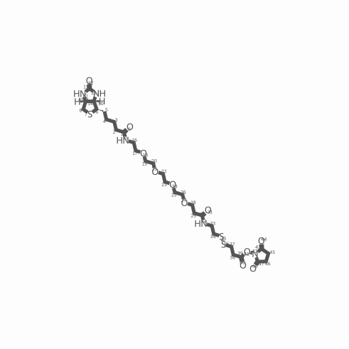 O=C(CCCC[C@@H]1SC[C@@H]2NC(=O)N[C@@H]21)NCCOCCOCCOCCOCCC(=O)NCCSSCCC(=O)ON1C(=O)CCC1=O